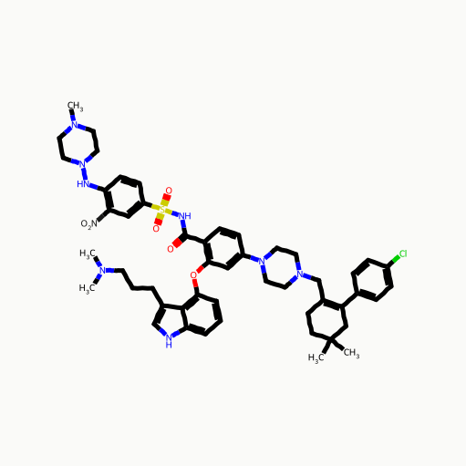 CN(C)CCCc1c[nH]c2cccc(Oc3cc(N4CCN(CC5=C(c6ccc(Cl)cc6)CC(C)(C)CC5)CC4)ccc3C(=O)NS(=O)(=O)c3ccc(NN4CCN(C)CC4)c([N+](=O)[O-])c3)c12